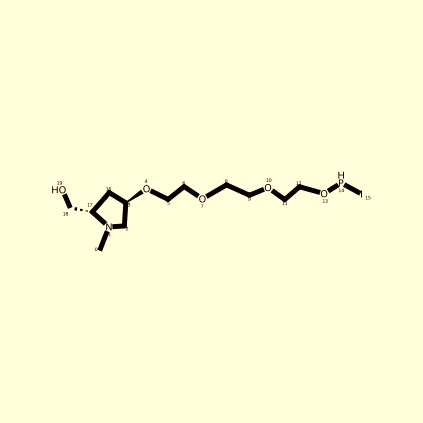 CN1C[C@H](OCCOCCOCCOPI)C[C@H]1CO